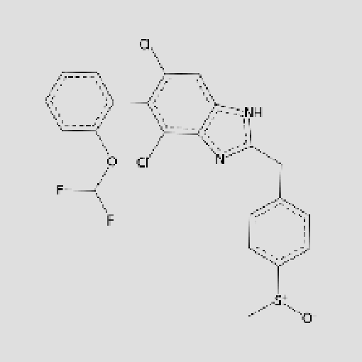 C[S+]([O-])c1ccc(Cc2nc3c(Cl)c(-c4ccccc4OC(F)F)c(Cl)cc3[nH]2)cc1